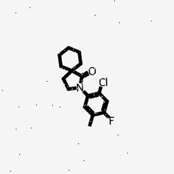 Cc1cc(N2CCC3(CCCCC3)C2=O)c(Cl)cc1F